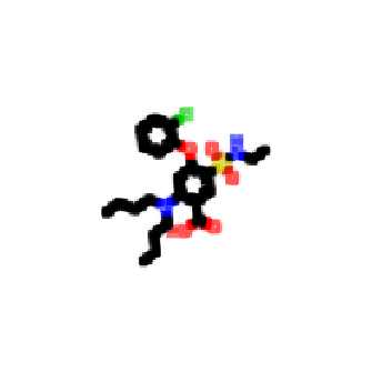 CCCCN(CCCC)c1cc(Oc2ccccc2Cl)c(S(=O)(=O)NCC)cc1C(=O)O